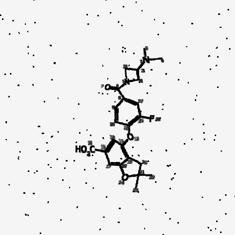 CN(C)C1CN(C(=O)c2ccc(Oc3cc(C(=O)O)cc4c3CC(C)(C)O4)c(F)c2)C1